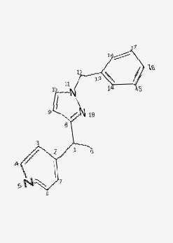 CC(c1ccncc1)c1ccn(Cc2ccccc2)n1